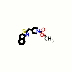 CCOC(=O)N1CCC(Cc2nc3c(s2)Cc2ccccc2-3)CC1